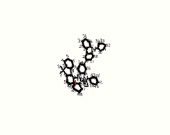 CC1(C)c2ccccc2-c2c(N3c4ccc(-c5ccc6c(c5)c5ccccc5n6-c5ccccc5)cc4N(c4ccccc4)P3(=O)c3ccccc3)cccc21